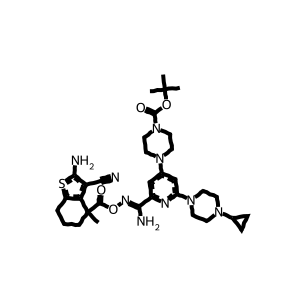 CC(C)(C)OC(=O)N1CCN(c2cc(/C(N)=N/OC(=O)C3(C)CCCc4sc(N)c(C#N)c43)nc(N3CCN(C4CC4)CC3)c2)CC1